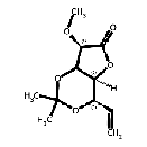 C=C[C@H]1OC(C)(C)OC2[C@H]1OC(=O)[C@@H]2OC